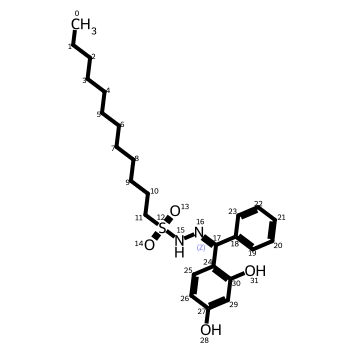 CCCCCCCCCCCCS(=O)(=O)N/N=C(/c1ccccc1)c1ccc(O)cc1O